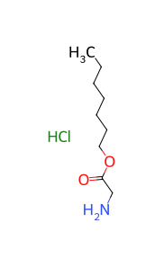 CCCCCCCOC(=O)CN.Cl